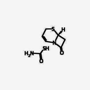 NC(=O)S.O=C1C[C@H]2SCC=CN12